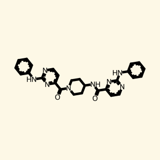 O=C(NC1CCN(C(=O)c2ccnc(Nc3ccccc3)n2)CC1)c1ccnc(Nc2ccccc2)n1